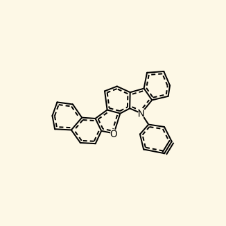 c1ccc(-n2c3ccccc3c3ccc4c(oc5ccc6ccccc6c54)c32)cc#1